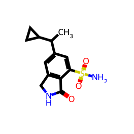 CC(c1cc2c(c(S(N)(=O)=O)c1)C(=O)NC2)C1CC1